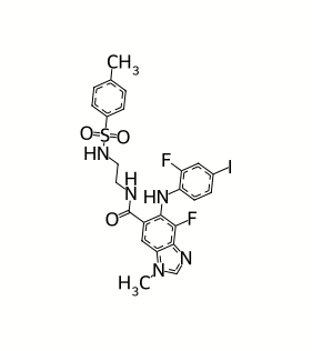 Cc1ccc(S(=O)(=O)NCCNC(=O)c2cc3c(ncn3C)c(F)c2Nc2ccc(I)cc2F)cc1